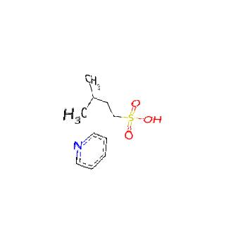 CC(C)CCS(=O)(=O)O.c1ccncc1